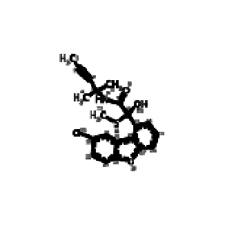 CC#CC(C)(C)NC(=O)C(O)(SC)c1cccc2oc3ccc(Cl)cc3c12